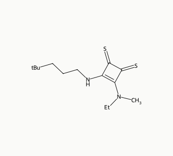 CCN(C)c1c(NCCCC(C)(C)C)c(=S)c1=S